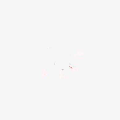 CC(C)(C)C1C[C@H](O)[C@@H](O)[C@H](O)[C@@H]1CO